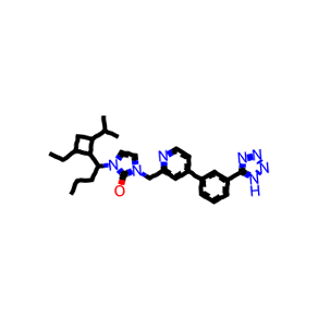 CCCC(C1C(CC)CC1C(C)C)n1ccn(Cc2cc(-c3cccc(-c4nnn[nH]4)c3)ccn2)c1=O